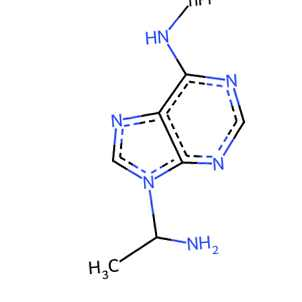 CCCNc1ncnc2c1ncn2C(C)N